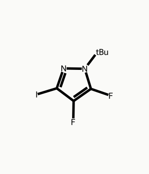 CC(C)(C)n1nc(I)c(F)c1F